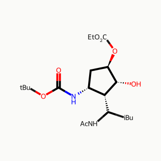 CCOC(=O)O[C@@H]1C[C@@H](NC(=O)OC(C)(C)C)[C@@H](C(NC(C)=O)C(C)CC)[C@H]1O